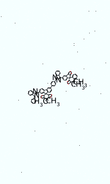 CC1(C)c2ccccc2C2(c3ccccc3-c3cc(-c4nc(-c5ccc(-c6ccc7c(c6)-c6ccc(-c8nc(-c9ccccc9)c9ccccc9n8)cc6C76c7ccccc7C(C)(C)c7ccccc76)cc5)nc5ccccc45)ccc32)c2ccccc21